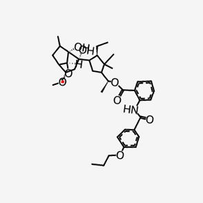 CCCOc1ccc(C(=O)Nc2ccccc2C(=O)O[C@@H](C)C2CC([C@@]3(O)C[C@H](OC)C4CC(C)[C@]3(O)[C@H]4OC)[C@@H](CC)C2(C)C)cc1